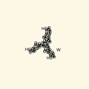 O=P([O][Mo](=[O])(=[O])[O][Mo](=[O])(=[O])[O][Mo](=[O])(=[O])[O][Mo](=[O])(=[O])[OH])([O][Mo](=[O])(=[O])[O][Mo](=[O])(=[O])[O][Mo](=[O])(=[O])[O][Mo](=[O])(=[O])[OH])[O][Mo](=[O])(=[O])[O][Mo](=[O])(=[O])[O][Mo](=[O])(=[O])[O][Mo](=[O])(=[O])[OH].[W]